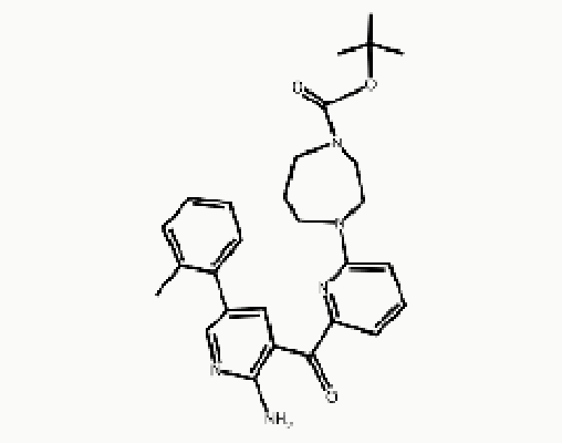 Cc1ccccc1-c1cnc(N)c(C(=O)c2cccc(N3CCCN(C(=O)OC(C)(C)C)CC3)n2)c1